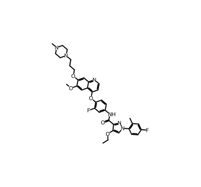 CCOc1cn(-c2ccc(F)cc2C)nc1C(=O)Nc1ccc(Oc2ccnc3cc(OCCCN4CCN(C)CC4)c(OC)cc23)c(F)c1